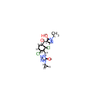 CCn1ncc(C(=O)c2ccc(Cl)c(Cn3nnn(C4CC4)c3=O)c2Cl)c1O